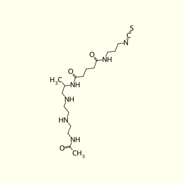 CC(=O)NCCNCCNCC(C)NC(=O)CCCC(=O)NCCCN=C=S